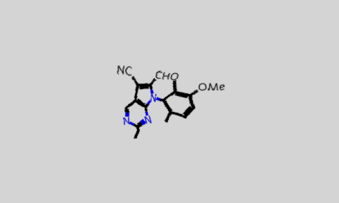 COc1ccc(C)c(-n2c(C=O)c(C#N)c3cnc(C)nc32)c1C